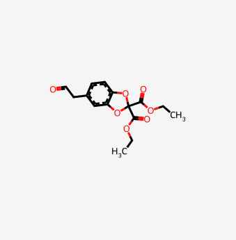 CCOC(=O)C1(C(=O)OCC)Oc2ccc(CC=O)cc2O1